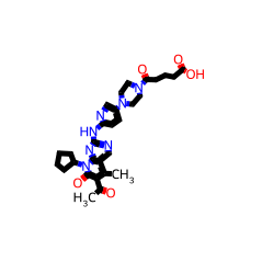 CC(=O)c1c(C)c2cnc(Nc3ccc(N4CCN(C(=O)CCCC(=O)O)CC4)cn3)nc2n(C2CCCC2)c1=O